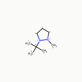 CN1CCCN1C(C)(C)C